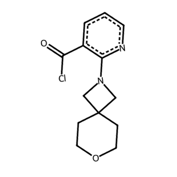 O=C(Cl)c1cccnc1N1CC2(CCOCC2)C1